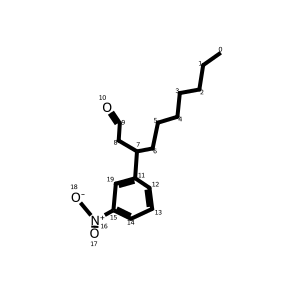 CCCCCCCC(CC=O)c1cccc([N+](=O)[O-])c1